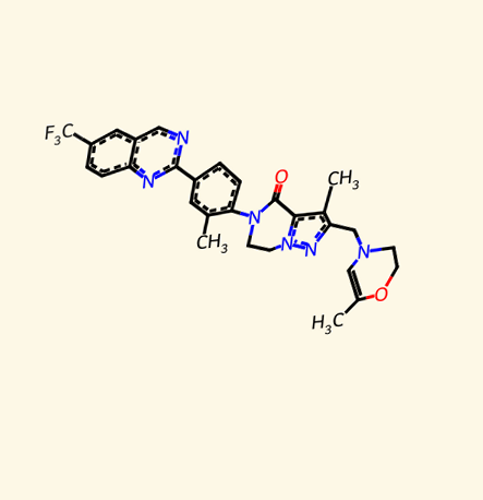 CC1=CN(Cc2nn3c(c2C)C(=O)N(c2ccc(-c4ncc5cc(C(F)(F)F)ccc5n4)cc2C)CC3)CCO1